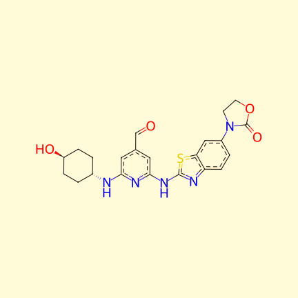 O=Cc1cc(Nc2nc3ccc(N4CCOC4=O)cc3s2)nc(N[C@H]2CC[C@H](O)CC2)c1